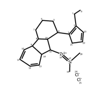 CCC1=C(C2CCCC3C4C=CC=CC4[CH]([Zr+2]=[Si](C)C)C23)CC=C1.[Cl-].[Cl-]